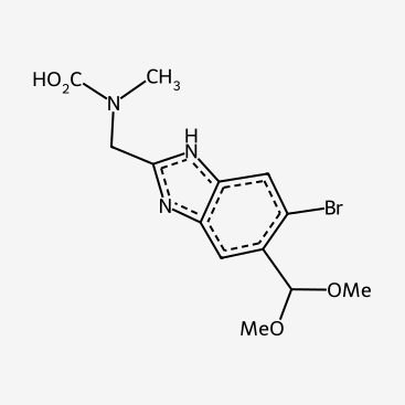 COC(OC)c1cc2nc(CN(C)C(=O)O)[nH]c2cc1Br